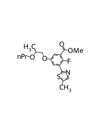 CCCO[C@@H](C)COc1cc(C(=O)OC)c(F)c(-c2ncc(C)s2)c1